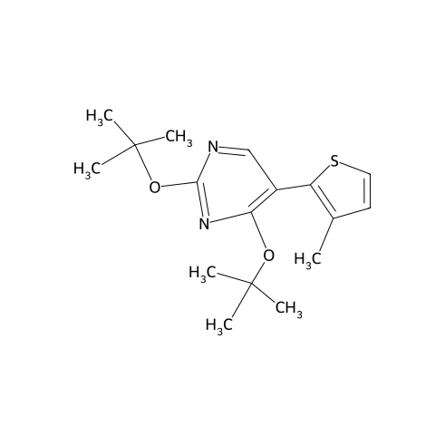 Cc1ccsc1-c1cnc(OC(C)(C)C)nc1OC(C)(C)C